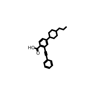 CCCC1CCC(c2ccc(C(=O)O)c(C#Cc3ccccc3)c2)CC1